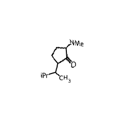 CNC1CCC(C(C)C(C)C)C1=O